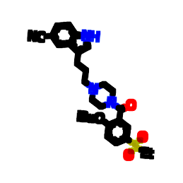 CCS(=O)(=O)c1ccc(OCC(C)C)c(C(=O)N2CCN(CCCc3c[nH]c4ccc(C#N)cc34)CC2)c1